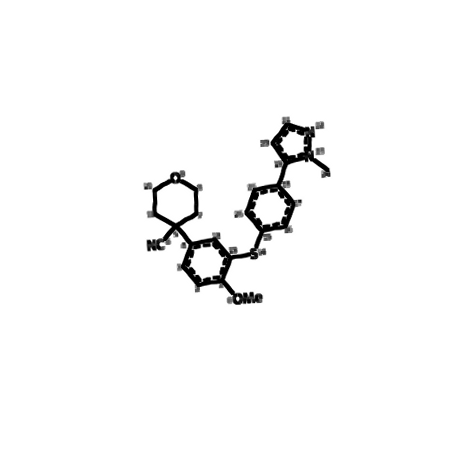 COc1ccc(C2(C#N)CCOCC2)cc1Sc1ccc(-c2ccnn2C)cc1